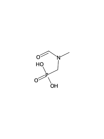 CN(C=O)CP(=O)(O)O